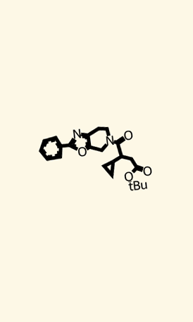 CC(C)(C)OC(=O)CC(C(=O)N1CCc2nc(-c3ccccc3)oc2C1)C1CC1